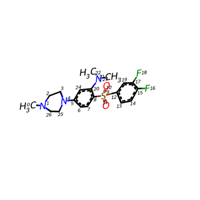 CN1CCN(c2ccc(S(=O)(=O)c3ccc(F)c(F)c3)c(N(C)C)c2)CC1